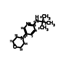 CC(C)(C)Nc1ccc(N2CCOCC2)cn1